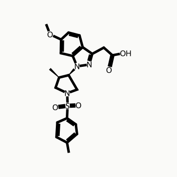 COc1ccc2c(CC(=O)O)nn([C@H]3CN(S(=O)(=O)c4ccc(C)cc4)C[C@H]3C)c2c1